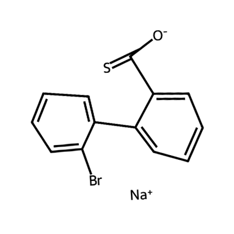 [Na+].[O-]C(=S)c1ccccc1-c1ccccc1Br